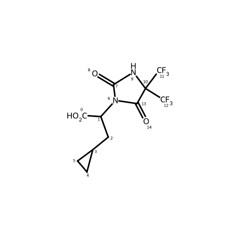 O=C(O)C(CC1CC1)N1C(=O)NC(C(F)(F)F)(C(F)(F)F)C1=O